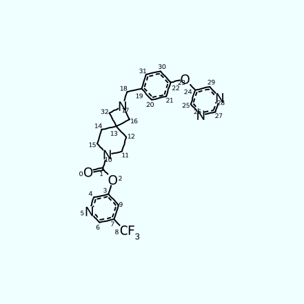 O=C(Oc1cncc(C(F)(F)F)c1)N1CCC2(CC1)CN(Cc1ccc(Oc3cncnc3)cc1)C2